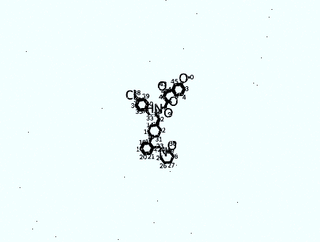 COc1ccc2oc(C(=O)N[C@H](C=C3CCC(c4ccccc4CN4CCCCC4=O)CC3)Cc3ccc(Cl)cc3)cc(=O)c2c1